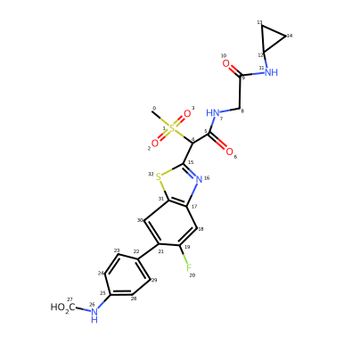 CS(=O)(=O)C(C(=O)NCC(=O)NC1CC1)c1nc2cc(F)c(-c3ccc(NC(=O)O)cc3)cc2s1